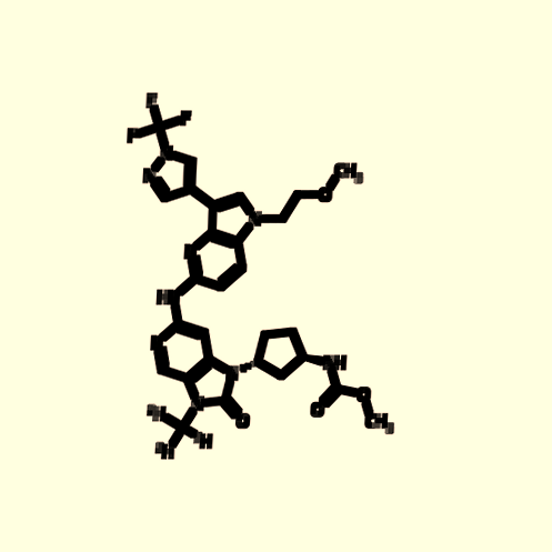 [2H]C([2H])([2H])n1c(=O)n([C@@H]2CC[C@@H](NC(=O)OC)C2)c2cc(Nc3ccc4c(n3)c(-c3cnn(C(F)(F)F)c3)cn4CCOC)ncc21